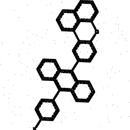 Fc1ccc(-c2c3ccccc3c(-c3ccc4c(c3)-c3cccc5cccc(c35)O4)c3ccccc23)cc1